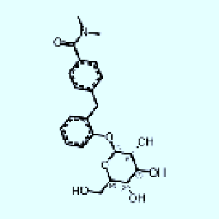 CN(C)C(=O)c1ccc(Cc2ccccc2O[C@@H]2O[C@H](CO)[C@@H](O)[C@H](O)[C@H]2O)cc1